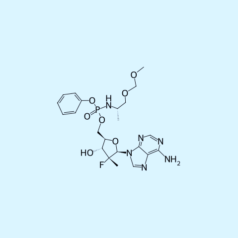 COCOC[C@H](C)NP(=O)(OC[C@H]1O[C@@H](n2cnc3c(N)ncnc32)[C@](C)(F)[C@@H]1O)Oc1ccccc1